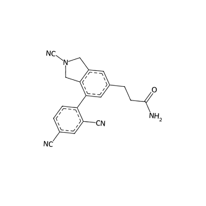 N#Cc1ccc(-c2cc(CCC(N)=O)cc3c2CN(C#N)C3)c(C#N)c1